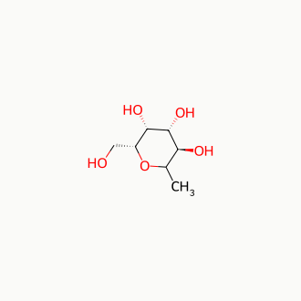 CC1O[C@H](CO)[C@H](O)[C@H](O)[C@H]1O